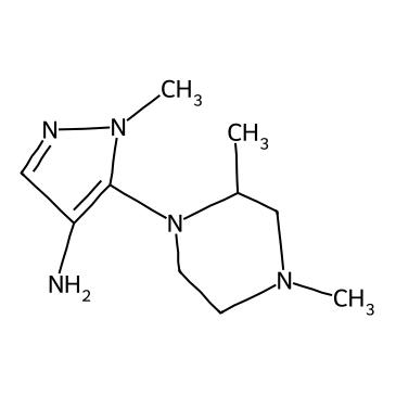 CC1CN(C)CCN1c1c(N)cnn1C